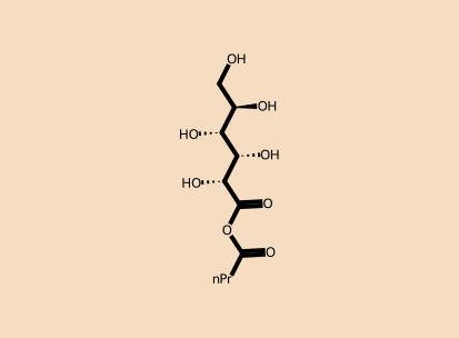 CCCC(=O)OC(=O)[C@H](O)[C@@H](O)[C@H](O)[C@H](O)CO